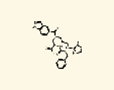 O=C(NC(CN(CCCNC1NCCN1)C(=O)c1ccc2[nH]ncc2c1)C(=O)O)OCc1ccccc1